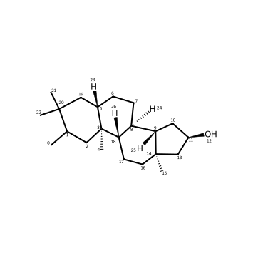 CC1C[C@@]2(C)[C@@H](CC[C@H]3[C@@H]4C[C@@H](O)C[C@@]4(C)CC[C@@H]32)CC1(C)C